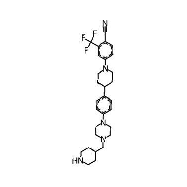 N#Cc1ccc(N2CCC(c3ccc(N4CCN(CC5CCNCC5)CC4)cc3)CC2)cc1C(F)(F)F